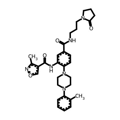 Cc1ccccc1N1CCN(c2ccc(C(=O)NCCCN3CCCC3=O)cc2NC(=O)c2conc2C)CC1